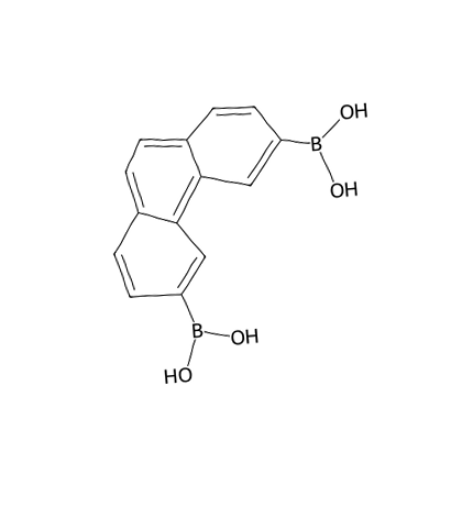 OB(O)c1ccc2ccc3ccc(B(O)O)cc3c2c1